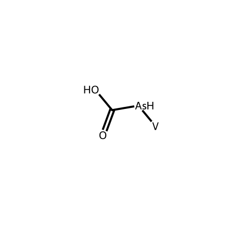 O=C(O)[AsH][V]